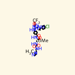 COC(=O)[C@H](CCNC(=O)C(=O)NCCn1ccnc1C)NC(=O)c1ccc(Nc2nc(NC3(c4ccc(Cl)cc4)CC3)nc(OCC(F)(F)F)n2)cc1